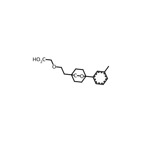 Cc1cccc(C23CCC(CCOCC(=O)O)(CC2)CO3)c1